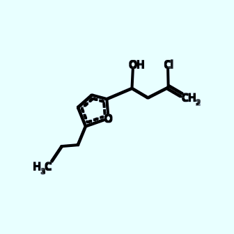 C=C(Cl)CC(O)c1ccc(CCC)o1